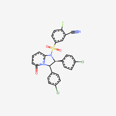 N#Cc1cc(S(=O)(=O)N2c3cccc(=O)n3C(c3ccc(Cl)cc3)[C@@H]2c2ccc(Cl)cc2)ccc1F